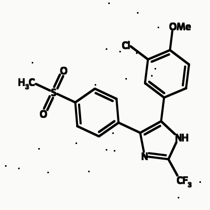 COc1ccc(-c2[nH]c(C(F)(F)F)nc2-c2ccc(S(C)(=O)=O)cc2)cc1Cl